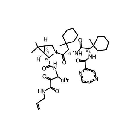 C=CCNC(=O)C(=O)C(CCC)NC(=O)[C@@H]1[C@@H]2[C@H](CN1C(=O)[C@@H](NC(=O)[C@@H](NC(=O)c1cnccn1)C1(C)CCCCC1)C1(C)CCCCC1)C2(C)C